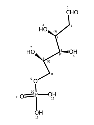 O=CC[C@H](O)[C@@H](O)[C@H](O)COP(=O)(O)O